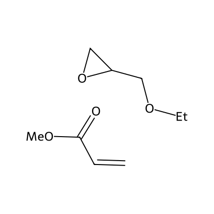 C=CC(=O)OC.CCOCC1CO1